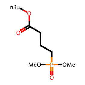 CCCCOC(=O)CCCP(=O)(OC)OC